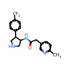 Cc1ccc(CC(=O)NC2CNCC2c2ccc(C(F)(F)F)cc2)cn1